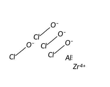 [Al].[O-]Cl.[O-]Cl.[O-]Cl.[O-]Cl.[Zr+4]